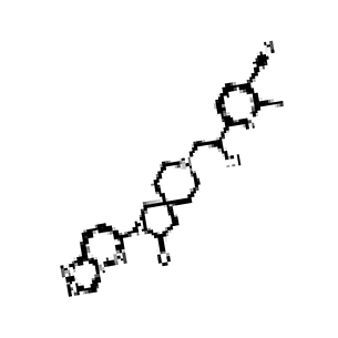 Cc1nc(C(O)CN2CCC3(CC2)CC(=O)N(c2ccc4nncn4n2)C3)ccc1C#N